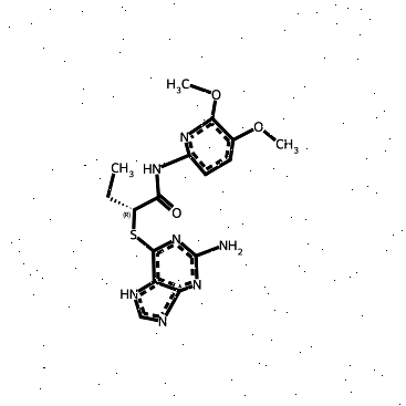 CC[C@@H](Sc1nc(N)nc2nc[nH]c12)C(=O)Nc1ccc(OC)c(OC)n1